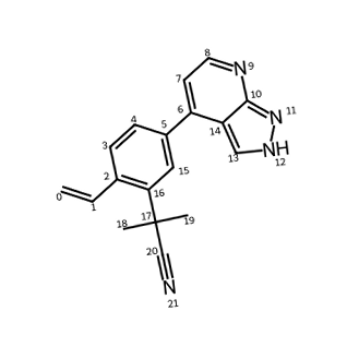 C=Cc1ccc(-c2ccnc3n[nH]cc23)cc1C(C)(C)C#N